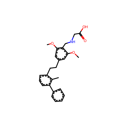 COc1cc(CCc2cccc(-c3ccccc3)c2C)cc(OC)c1CNCC(=O)O